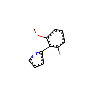 COc1cccc(Cl)c1-c1ccc[nH]1